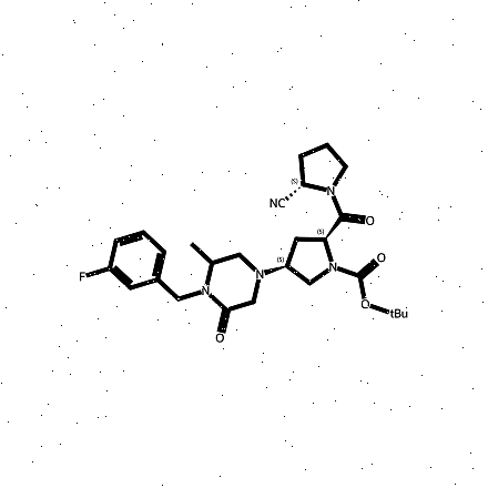 CC1CN([C@H]2C[C@@H](C(=O)N3CCC[C@H]3C#N)N(C(=O)OC(C)(C)C)C2)CC(=O)N1Cc1cccc(F)c1